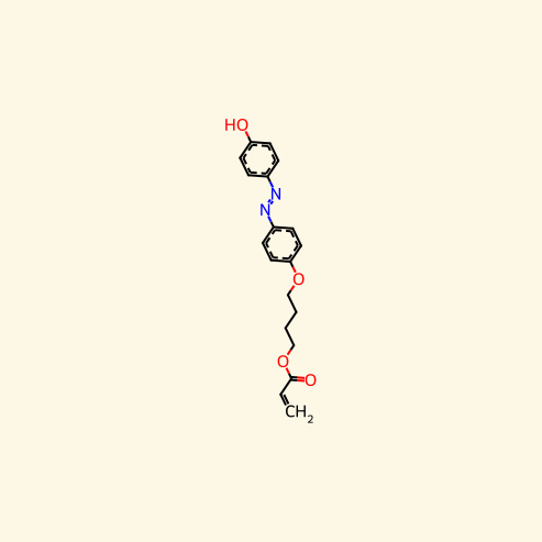 C=CC(=O)OCCCCOc1ccc(N=Nc2ccc(O)cc2)cc1